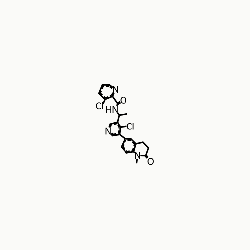 CC(NC(=O)c1ncccc1Cl)c1cncc(-c2ccc3c(c2)CCC(=O)N3C)c1Cl